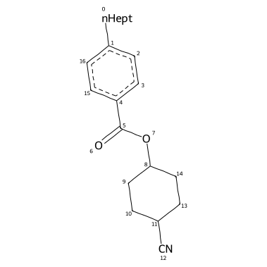 CCCCCCCc1ccc(C(=O)OC2CCC(C#N)CC2)cc1